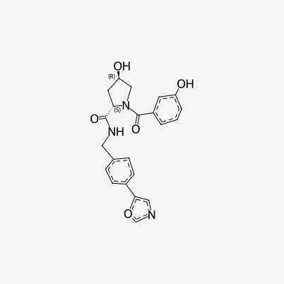 O=C(NCc1ccc(-c2cnco2)cc1)[C@@H]1C[C@@H](O)CN1C(=O)c1cccc(O)c1